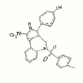 Cc1ccc(S(=O)(=O)N2Cc3c(-c4ccc(C#N)cc4)[nH]c([N+](=O)[O-])c3-c3ccccc32)cc1